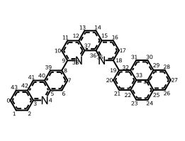 c1ccc2nc3ccc(-c4ccc5ccc6ccc(-c7ccc8ccc9cccc%10ccc7c8c9%10)nc6c5n4)cc3cc2c1